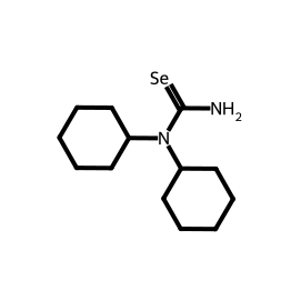 NC(=[Se])N(C1CCCCC1)C1CCCCC1